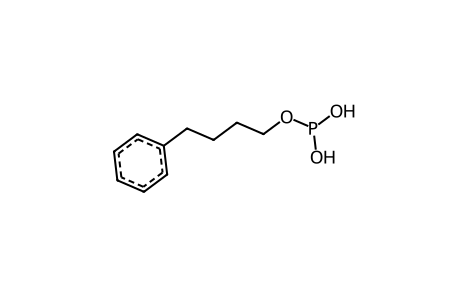 OP(O)OCCCCc1ccccc1